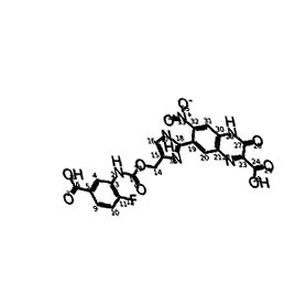 O=C(Nc1cc(C(=O)O)ccc1F)OCc1c[nH]c(-c2cc3nc(C(=O)O)c(=O)[nH]c3cc2[N+](=O)[O-])n1